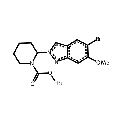 COc1cc2nn(C3CCCCN3C(=O)OC(C)(C)C)cc2cc1Br